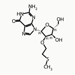 CSCCO[C@@H]1[C@H](O)[C@@H](CO)O[C@H]1n1cnc2c(=O)[nH]c(N)nc21